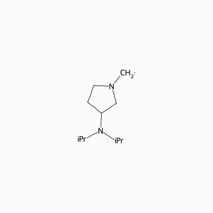 [CH2]N1CCC(N(C(C)C)C(C)C)C1